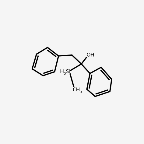 C[SiH2]C(O)(Cc1ccccc1)c1ccccc1